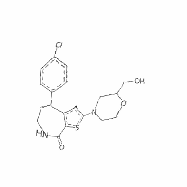 O=C1NCCC(c2ccc(Cl)cc2)c2cc(N3CCOC(CO)C3)sc21